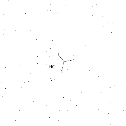 Cl.IC(I)I